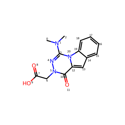 CN(C)c1nn(CC(=O)O)c(=O)c2cc3ccccc3n12